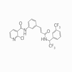 O=C(C=Cc1cccc(NC(=O)c2cccnc2Cl)c1)NC(c1cccc(C(F)(F)F)c1)C(F)(F)F